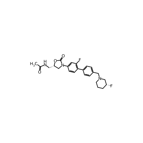 CC(=O)NC[C@H]1CN(c2ccc(-c3ccc(CN4CCC[C@@H](F)C4)cc3)c(F)c2)C(=O)O1